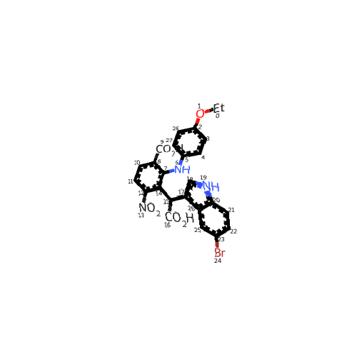 CCOc1ccc(Nc2c(C(=O)O)ccc([N+](=O)[O-])c2C(C(=O)O)c2c[nH]c3ccc(Br)cc23)cc1